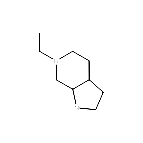 CCN1CCC2CCNC2C1